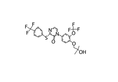 CC(C)(O)COc1ccc(-n2ccnc(Sc3ccc(C(F)(F)F)cc3)c2=O)cc1OC(F)(F)F